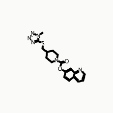 Cn1nnnc1SCC1CCN(C(=O)Oc2ccc3cccnc3c2)CC1